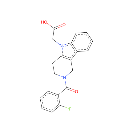 O=C(O)Cn1c2c(c3ccccc31)CN(C(=O)c1ccccc1F)CC2